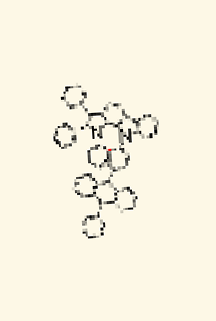 c1ccc(-c2c3ccccc3c(-c3ccc(-n4c5ccccc5c5ccc6c(-c7ccccc7)c(-c7ccccc7)n(-c7ccccc7)c6c54)cc3)c3ccccc23)cc1